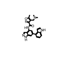 Cc1onc(C(=O)Nc2cc(-c3cccc4[nH]ccc34)cc3[nH]ncc23)c1CN(C)C